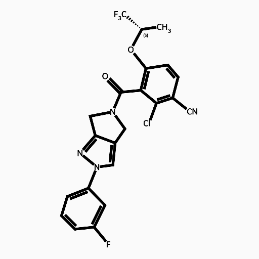 C[C@H](Oc1ccc(C#N)c(Cl)c1C(=O)N1Cc2cn(-c3cccc(F)c3)nc2C1)C(F)(F)F